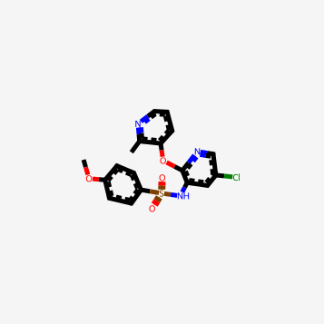 COc1ccc(S(=O)(=O)Nc2cc(Cl)cnc2Oc2cccnc2C)cc1